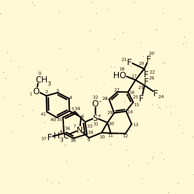 COc1ccc(CN(C)CC2C3CCc4cc(C(O)(C(F)(F)F)C(F)(F)F)ccc4C32[S+]([O-])c2ccc(F)cc2)cc1